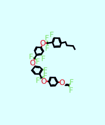 CCCCc1ccc(C(F)(F)Oc2ccc(C(F)(F)Oc3ccc(C(F)(F)Oc4ccc(OC=C(F)F)cc4)c(F)c3)c(F)c2)c(F)c1